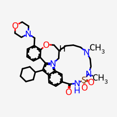 CN1CCC[C@H]2COc3c(CN4CCOCC4)cccc3-c3c(C4CCCCC4)c4ccc(cc4n3C2)C(=O)NS(=O)(=O)N(C)CC1